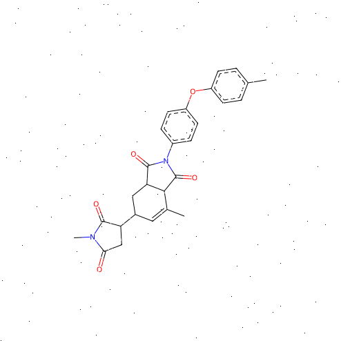 CC1=CC(C2CC(=O)N(C)C2=O)CC2C(=O)N(c3ccc(Oc4ccc(C)cc4)cc3)C(=O)C12